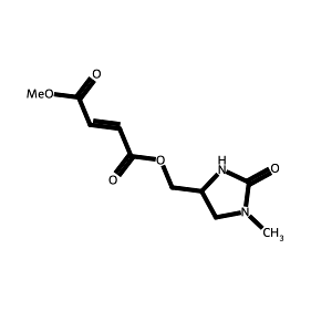 COC(=O)/C=C/C(=O)OCC1CN(C)C(=O)N1